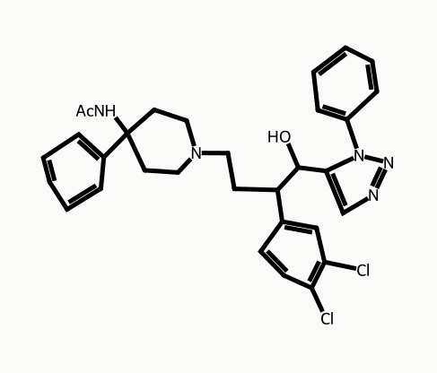 CC(=O)NC1(c2ccccc2)CCN(CCC(c2ccc(Cl)c(Cl)c2)C(O)c2cnnn2-c2ccccc2)CC1